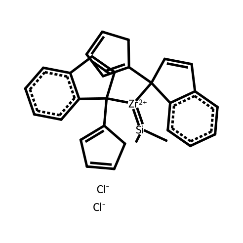 C[Si](C)=[Zr+2]([C]1(C2=CC=CC2)C=Cc2ccccc21)[C]1(C2=CC=CC2)C=Cc2ccccc21.[Cl-].[Cl-]